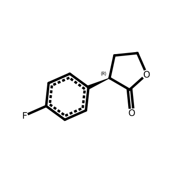 O=C1OCC[C@@H]1c1ccc(F)cc1